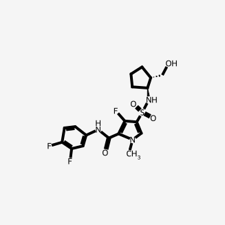 Cn1cc(S(=O)(=O)N[C@H]2CCC[C@@H]2CO)c(F)c1C(=O)Nc1ccc(F)c(F)c1